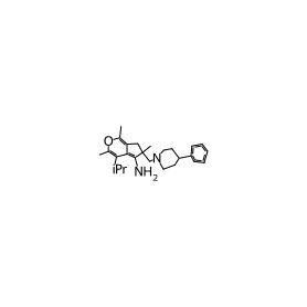 CC1=C2CC(C)(CN3CCC(c4ccccc4)CC3)C(N)=C2C(C(C)C)=C(C)O1